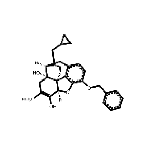 CCOC(=O)C1=C(O)[C@@H]2Oc3c(OCc4ccccc4)ccc4c3[C@@]23CCN(CC2CC2)[C@H](C4)[C@]3(O)C1